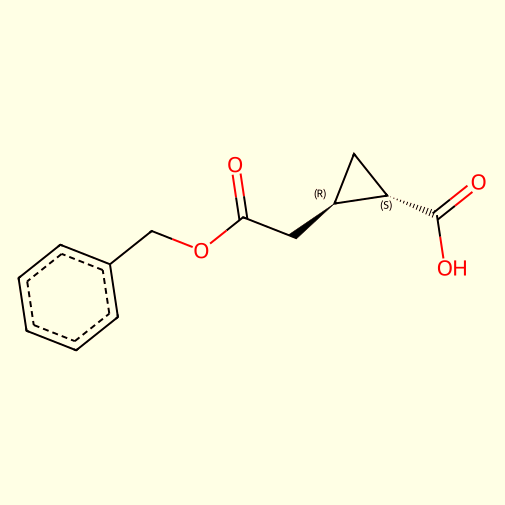 O=C(C[C@H]1C[C@@H]1C(=O)O)OCc1ccccc1